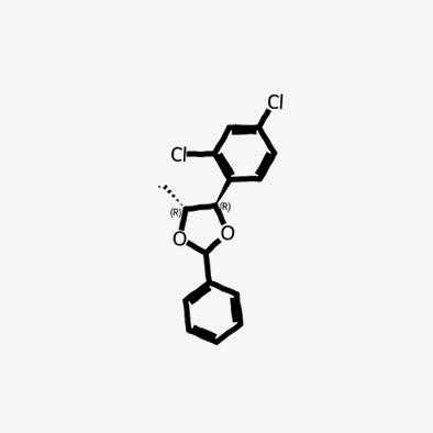 [CH2][C@H]1OC(c2ccccc2)O[C@@H]1c1ccc(Cl)cc1Cl